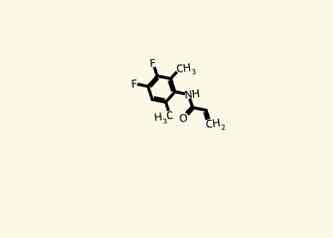 C=CC(=O)Nc1c(C)cc(F)c(F)c1C